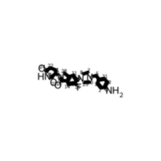 Nc1ccc(CN2CCN(c3cc4c(cc3F)C(=O)N(C3CCC(=O)NC3=O)C4)CC2)cc1